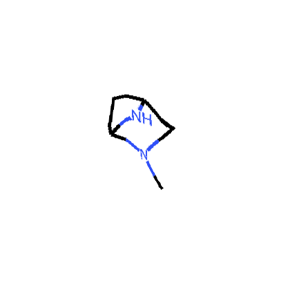 CN1CC2CC1N2